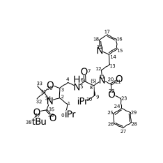 CC(C)CC1C(CNC(=O)[C@H](CC(C)C)N(CCc2ccccn2)C(=O)OCc2ccccc2)OC(C)(C)N1C(=O)OC(C)(C)C